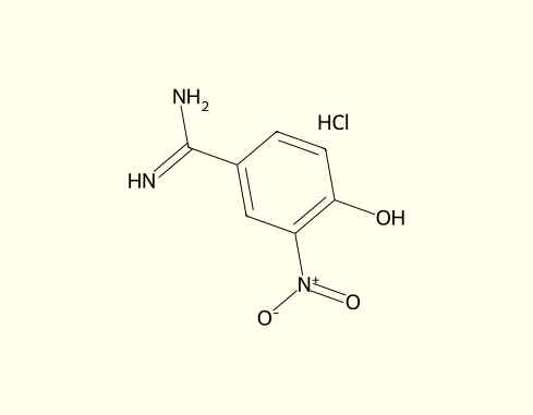 Cl.N=C(N)c1ccc(O)c([N+](=O)[O-])c1